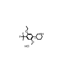 CCOc1cc([C@@H]2CCCNC2)c(OC)cc1C(F)(F)F.Cl